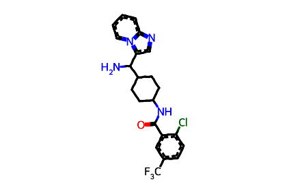 NC(c1cnc2ccccn12)C1CCC(NC(=O)c2cc(C(F)(F)F)ccc2Cl)CC1